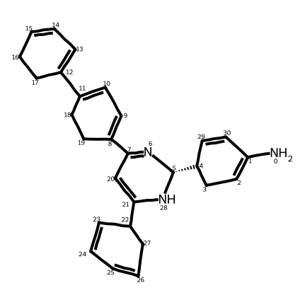 NC1=CCC([C@H]2N=C(C3=CC=C(C4=CC=CCC4)CC3)C=C(C3C=CC=CC3)N2)C=C1